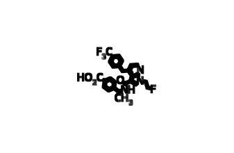 C[C@H](NC(=O)c1cn(CCF)c2nccc(Cc3ccc(C(F)(F)F)cc3)c12)c1ccc(C(=O)O)cc1